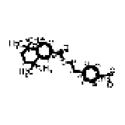 CC1(C)CCC(C)(C)c2cc(C(=O)OCCc3ccc([N+](=O)[O-])cc3)ccc21